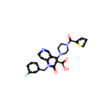 O=C(O)c1c(N2CCN(C(=O)c3cccs3)CC2)c2cnccc2n(Cc2cccc(F)c2)c1=O